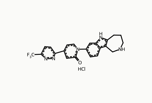 Cl.O=c1cc(-c2ccc(C(F)(F)F)nn2)ccn1-c1ccc2c3c([nH]c2c1)CCCNC3